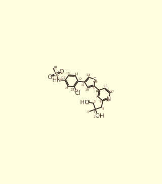 CC(O)(CO)Cc1cc(-c2cc(-c3ccc(NS(C)(=O)=O)cc3Cl)cs2)ccn1